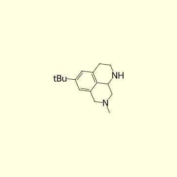 CN1Cc2cc(C(C)(C)C)cc3c2C(C1)NCC3